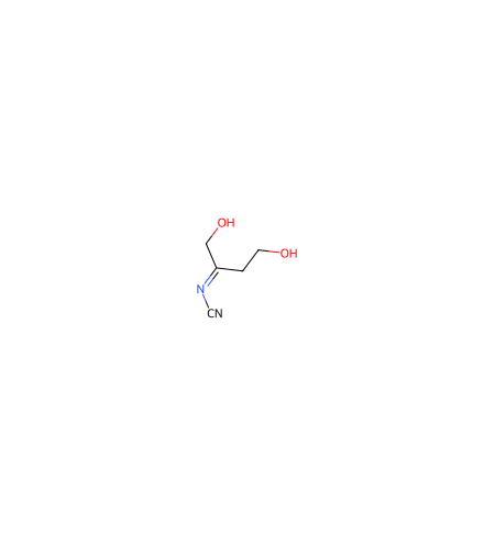 N#CN=C(CO)CCO